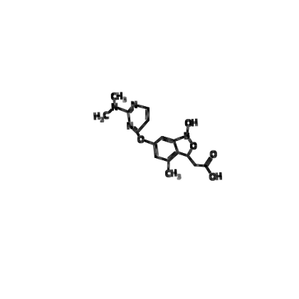 Cc1cc(Oc2ccnc(N(C)C)n2)cc2c1C(CC(=O)O)OB2O